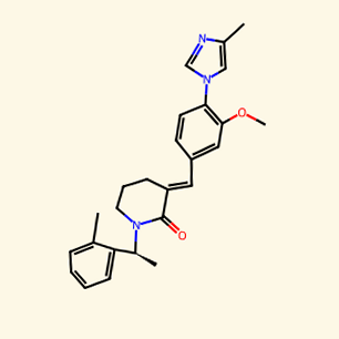 COc1cc(/C=C2\CCCN([C@@H](C)c3ccccc3C)C2=O)ccc1-n1cnc(C)c1